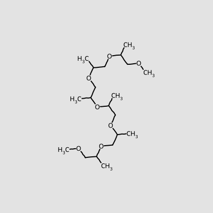 COCC(C)OCC(C)OCC(C)OC(C)COC(C)COC(C)COC